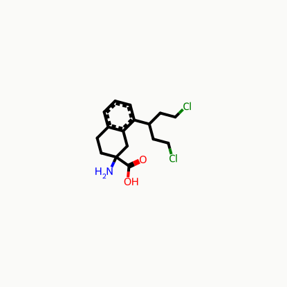 NC1(C(=O)O)CCc2cccc(C(CCCl)CCCl)c2C1